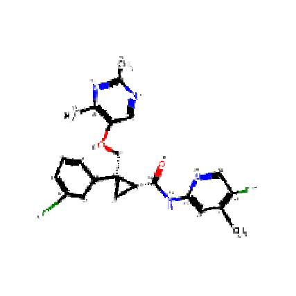 Cc1ncc(OC[C@@]2(C3C=CC=C(F)C3)C[C@H]2C(=O)Nc2cc(C)c(F)cn2)c(C)n1